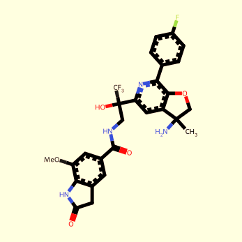 COc1cc(C(=O)NCC(O)(c2cc3c(c(-c4ccc(F)cc4)n2)OCC3(C)N)C(F)(F)F)cc2c1NC(=O)C2